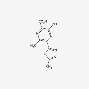 Cc1cnc(-c2nc(N)c(C(=O)O)nc2C)o1